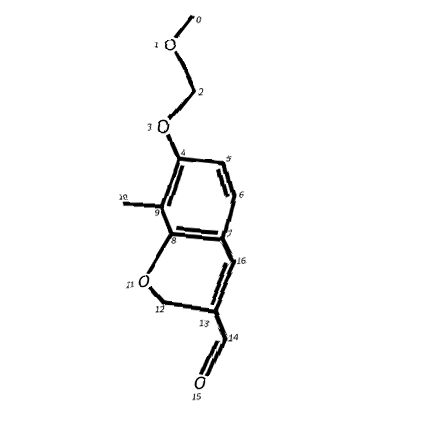 COCOc1ccc2c(c1C)OCC(C=O)=C2